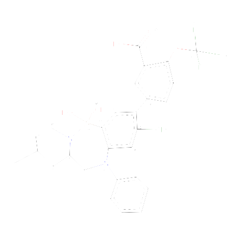 CC(C)CC1CN(c2ccccc2)c2cc(Cl)c(-c3ccc(OC(F)(F)F)c(C(=O)O)c3)cc2S(O)(O)N1C